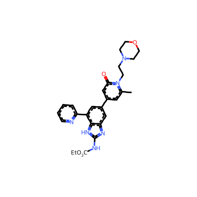 CCOC(=O)Nc1nc2cc(-c3cc(C)n(CCN4CCOCC4)c(=O)c3)cc(-c3ccccn3)c2[nH]1